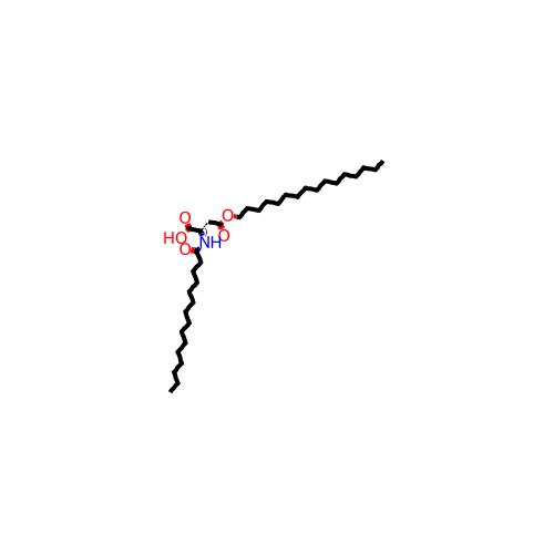 CCCCCCCCCCCCCCCCOC(=O)C[C@H](NC(=O)CCCCCCCCCCCCCC)C(=O)O